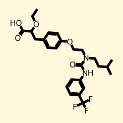 CCOC(Cc1ccc(OCCN(CCC(C)C)C(=O)Nc2cccc(C(F)(F)F)c2)cc1)C(=O)O